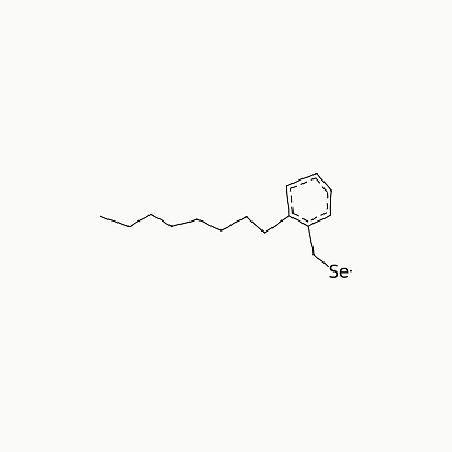 CCCCCCCCc1ccccc1C[Se]